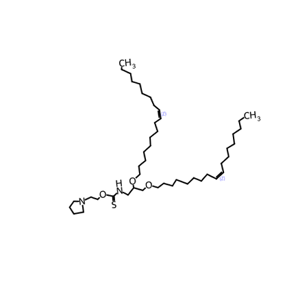 CCCCCCCC/C=C\CCCCCCCCOCC(CNC(=S)OCCN1CCCC1)OCCCCCCCC/C=C\CCCCCCCC